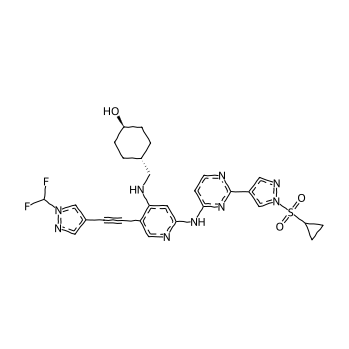 O=S(=O)(C1CC1)n1cc(-c2nccc(Nc3cc(NC[C@H]4CC[C@H](O)CC4)c(C#Cc4cnn(C(F)F)c4)cn3)n2)cn1